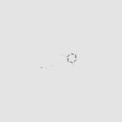 O=CCCCCOc1c(Cl)cc(O)cc1Cl